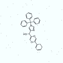 OC(C1=COC(C2=CC=CCC2)=CO1)c1cn(C(c2ccccc2)(c2ccccc2)c2ccccc2)cn1